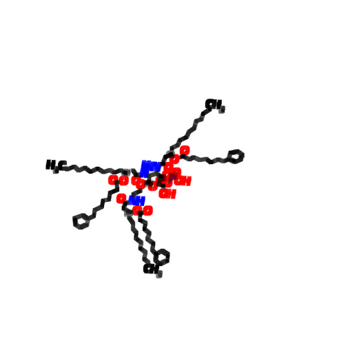 CCCCCCCCCCC[C@H](CC(=O)NCCO[C@@H]1OC(CO)[C@@H](OP(=O)(O)O)C(NC(=O)C[C@@H](CCCCCCCCCCC)OC(=O)CCCCCCCc2ccccc2)C1NC(=O)C[C@@H](CCCCCCCCCCC)OC(=O)CCCCCCCc1ccccc1)OC(=O)CCCCCCCc1ccccc1